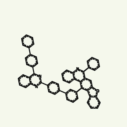 c1ccc(-c2ccc(-c3nc(-c4ccc(-c5cccc(-c6c7c(cc8c(-c9ccccc9)nc9ccccc9c68)oc6ccccc67)c5)cc4)nc4ccccc34)cc2)cc1